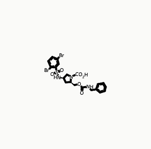 O=C(NCc1ccccc1)OC[C@H]1C[C@@H](NS(=O)(=O)c2cc(Br)ccc2Br)CN1C(=O)O